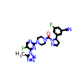 Cc1nnnn1-c1nc(N2CCN(C(=O)N3N=CCC3c3cc(F)cc(C#N)c3)CC2)ncc1F